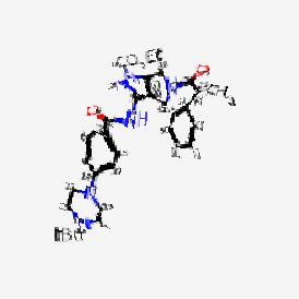 CCOC(=O)n1nc(NC(=O)c2ccc(N3CCN(C(C)(C)C)CC3)cc2)c2c1CN(C(=O)[C@H](C)c1ccccc1)C2